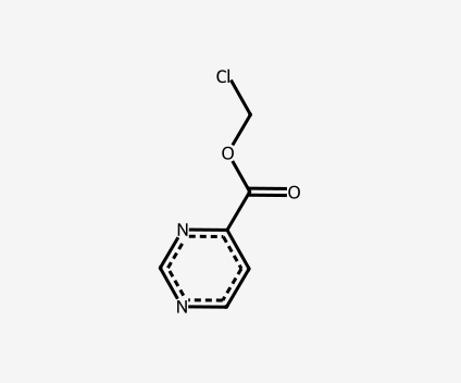 O=C(OCCl)c1ccncn1